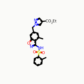 CCOC(=O)c1cnn(Cc2cc(C)c3c(NS(=O)(=O)c4ccccc4C)noc3c2)c1